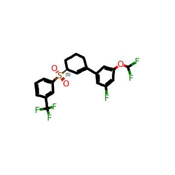 O=S(=O)(c1cccc(C(F)(F)F)c1)[C@@H]1C=C(c2cc(F)cc(OC(F)F)c2)CCC1